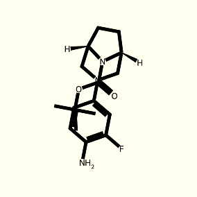 CC(C)(C)OC(=O)N1[C@@H]2CC[C@H]1CN(c1ccc(N)c(F)c1)C2